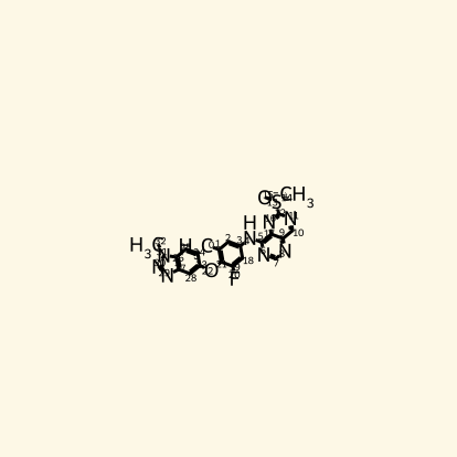 Cc1cc(Nc2ncnc3cnc([S+](C)[O-])nc23)cc(F)c1Oc1ccc2c(c1)nnn2C